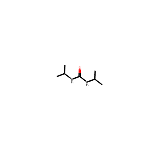 CC(C)BC(=O)BC(C)C